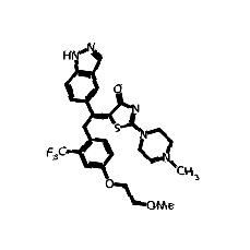 COCCOc1ccc(CC(=C2SC(N3CCN(C)CC3)=NC2=O)c2ccc3[nH]ncc3c2)c(C(F)(F)F)c1